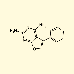 Nc1nc(N)c2c(-c3ccccc3)coc2n1